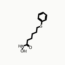 O=C(CCCCCSc1ccccc1)NO